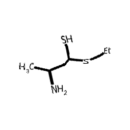 CCSC(S)C(C)N